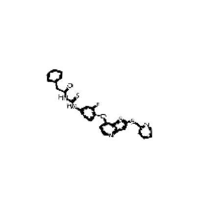 O=C(Cc1ccccc1)NC(=S)Nc1ccc(Oc2ccnc3cc(Sc4ccccn4)sc23)c(F)c1